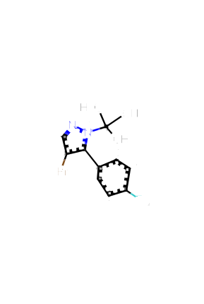 CC(C)(C)n1ncc(Br)c1-c1ccc(F)cc1